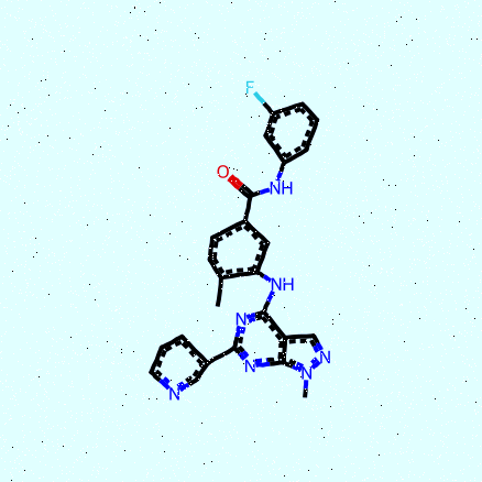 Cc1ccc(C(=O)Nc2cccc(F)c2)cc1Nc1nc(-c2cccnc2)nc2c1cnn2C